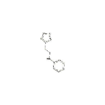 [c]1nc(CCNc2ccccc2)cs1